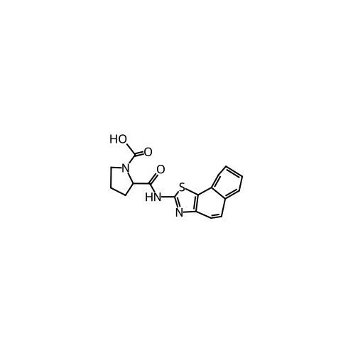 O=C(Nc1nc2ccc3ccccc3c2s1)C1CCCN1C(=O)O